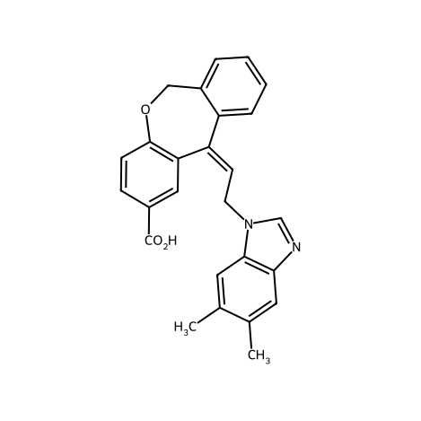 Cc1cc2ncn(CC=C3c4ccccc4COc4ccc(C(=O)O)cc43)c2cc1C